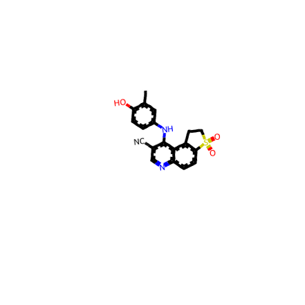 Cc1cc(Nc2c(C#N)cnc3ccc4c(c23)CCS4(=O)=O)ccc1O